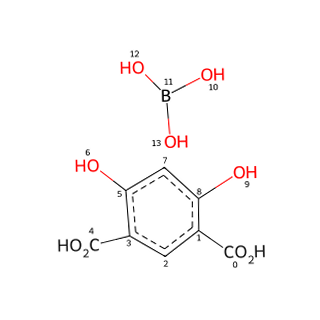 O=C(O)c1cc(C(=O)O)c(O)cc1O.OB(O)O